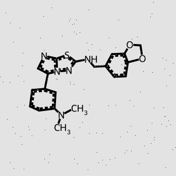 CN(C)c1cccc(-c2cnc3sc(NCc4ccc5c(c4)OCO5)nn23)c1